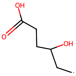 [CH2]CC(O)CCC(=O)O